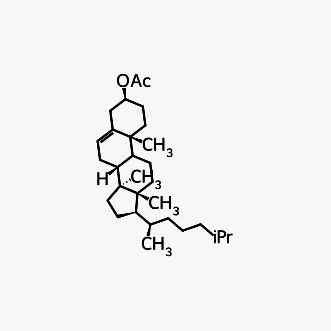 CC(=O)O[C@H]1CC[C@@]2(C)C(=CC[C@@H]3C2CC[C@]2(C)[C@@H]([C@H](C)CCCC(C)C)CC[C@@]32C)C1